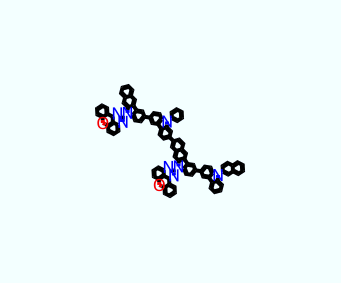 c1ccc(-n2c3ccc(-c4ccc5c(c4)c4cc6ccccc6cc4n5-c4nc5c6c(cccc6n4)Oc4ccccc4-5)cc3c3ccc(-c4ccc5cc6c7cc(-c8ccc9c(c8)c8ccccc8n9-c8ccc9ccccc9c8)ccc7n(-c7nc8c9c(cccc9n7)Oc7ccccc7-8)c6cc5c4)cc32)cc1